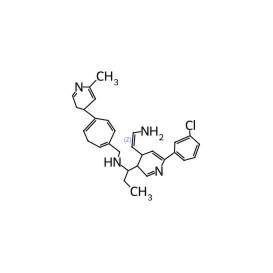 CCC(NCC1=CCC=C(C2C=C(C)N=CC2)C=C1)C1C=NC(c2cccc(Cl)c2)=CC1/C=C\N